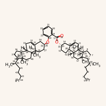 CC(C)CCC[C@@H](C)[C@H]1CC[C@H]2[C@@H]3CC=C4C[C@@H](OC(=O)c5ccccc5O[C@H]5CC[C@@]6(C)C(=CC[C@H]7[C@@H]8CC[C@H]([C@H](C)CCCC(C)C)[C@@]8(C)CC[C@@H]76)C5)CC[C@]4(C)[C@H]3CC[C@]12C